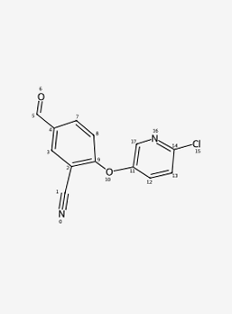 N#Cc1cc(C=O)ccc1Oc1ccc(Cl)nc1